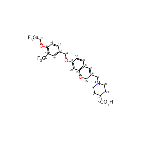 O=C(O)C1CCN(CC2=Cc3ccc(OCc4ccc(OCC(F)(F)F)c(C(F)(F)F)c4)cc3OC2)CC1